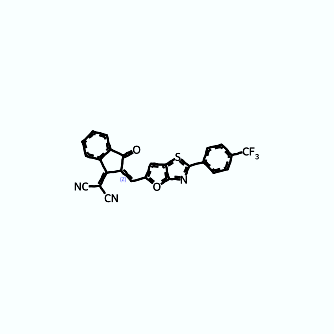 N#CC(C#N)=C1/C(=C/c2cc3sc(-c4ccc(C(F)(F)F)cc4)nc3o2)C(=O)c2ccccc21